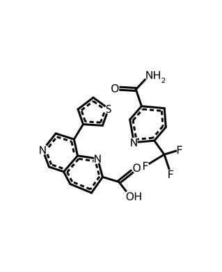 NC(=O)c1ccc(C(F)(F)F)nc1.O=C(O)c1ccc2cncc(-c3ccsc3)c2n1